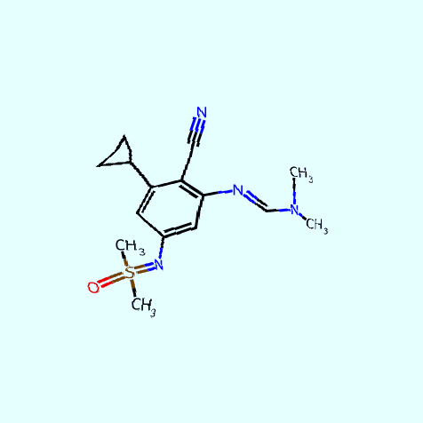 CN(C)/C=N/c1cc(N=S(C)(C)=O)cc(C2CC2)c1C#N